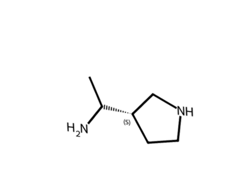 CC(N)[C@H]1CCNC1